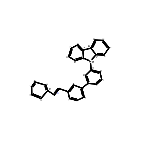 C(=C\c1cccc(-c2cccc(-n3c4ccccc4c4ccccc43)c2)c1)/c1ccccc1